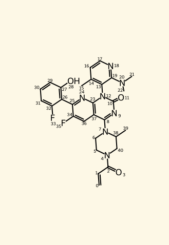 C=CC(=O)N1CCN(c2nc(=O)n(-c3c(C)ccnc3N(C)C)c3nc(-c4c(O)cccc4F)c(F)cc23)C(C)C1